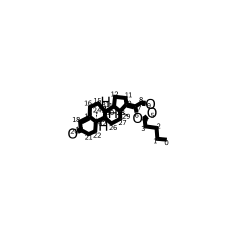 CCCCC(=O)OC(C=O)=C1CC[C@H]2[C@@H]3CCC4=CC(=O)CC[C@]4(C)[C@H]3CC[C@]12C